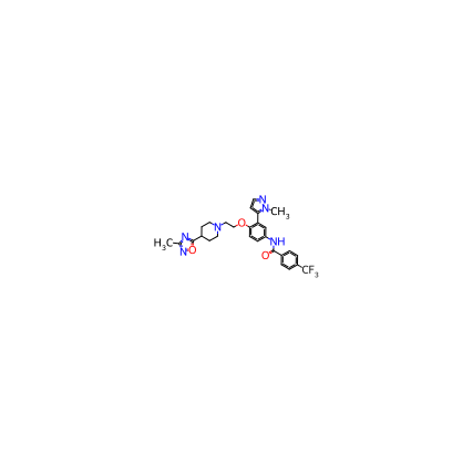 Cc1noc(C2CCN(CCOc3ccc(NC(=O)c4ccc(C(F)(F)F)cc4)cc3-c3ccnn3C)CC2)n1